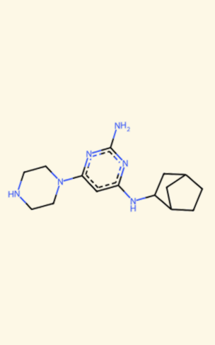 Nc1nc(NC2CC3CCC2C3)cc(N2CCNCC2)n1